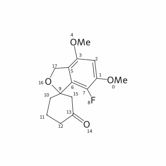 COc1cc(OC)c2c(c1F)C1(CCCC(=O)C1)OC2